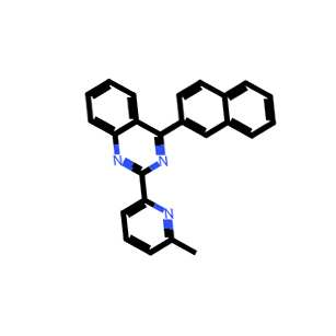 Cc1cccc(-c2nc(-c3ccc4ccccc4c3)c3ccccc3n2)n1